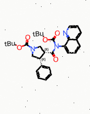 CC(C)(C)OC(=O)N1C[C@H](C(=O)N(C(=O)OC(C)(C)C)c2cccc3cccnc23)[C@H](c2ccccc2)C1